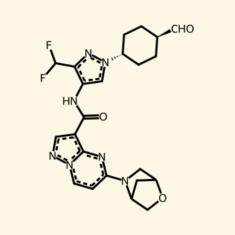 O=C[C@H]1CC[C@H](n2cc(NC(=O)c3cnn4ccc(N5CC6CC5CO6)nc34)c(C(F)F)n2)CC1